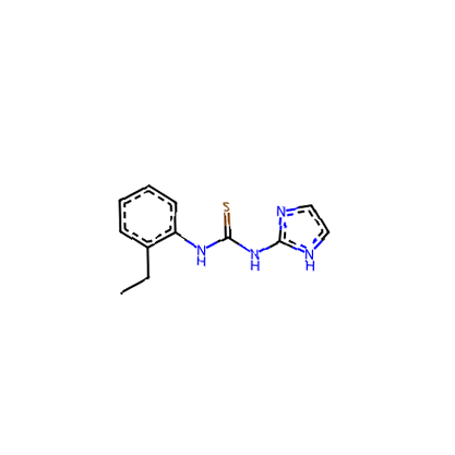 CCc1ccccc1NC(=S)Nc1ncc[nH]1